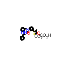 Cc1c(-c2cccc(N(CC3CCCCC3)C(=O)NCCc3ccccc3)c2)sc(C(=O)O)c1OCC(=O)O